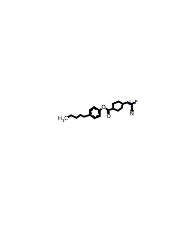 CCCCCc1ccc(OC(=O)C2CCC(/C=C(/F)C#N)CC2)cc1